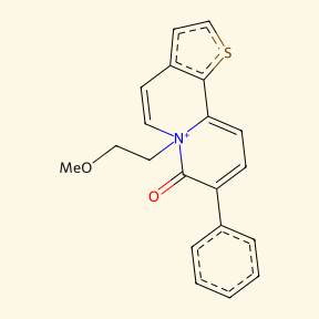 COCC[N+]12C=Cc3ccsc3C1=CC=C(c1ccccc1)C2=O